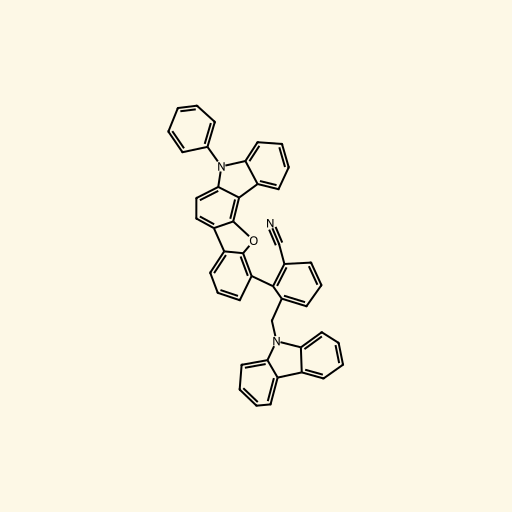 N#Cc1cccc(Cn2c3ccccc3c3ccccc32)c1-c1cccc2c1oc1c2ccc2c1c1ccccc1n2-c1ccccc1